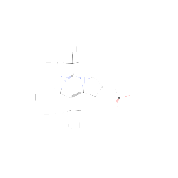 C[C@@H]1N=C(C(C)(C)C)N2C[C@H](CC(=O)O)CC2=C1C(C)(C)C